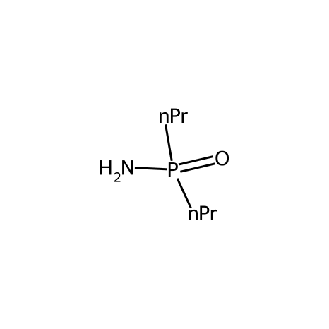 CCCP(N)(=O)CCC